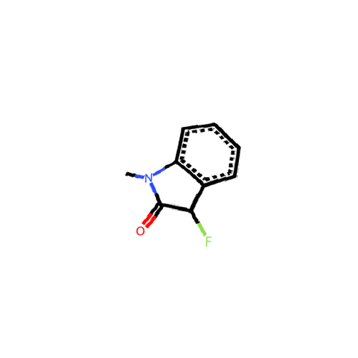 CN1C(=O)C(F)c2ccccc21